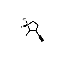 C#CC1CCP(=O)(O)C1C